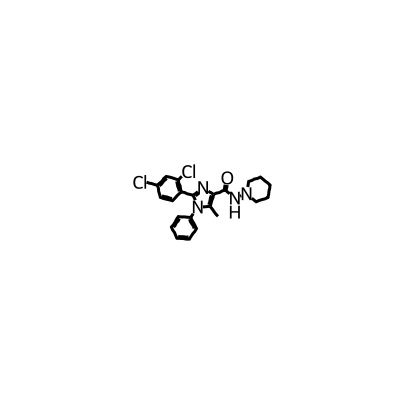 Cc1c(C(=O)NN2CCCCC2)nc(-c2ccc(Cl)cc2Cl)n1-c1ccccc1